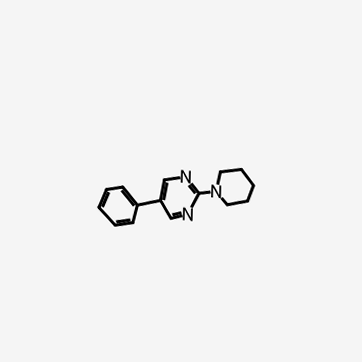 c1ccc(-c2cnc(N3CCCCC3)nc2)cc1